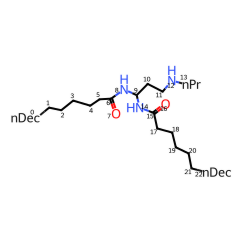 CCCCCCCCCCCCCCCC(=O)NC(CCNCCC)NC(=O)CCCCCCCCCCCCCCC